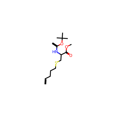 C=CCCCSCC(NC(=C)OC(C)(C)C)C(=O)OC